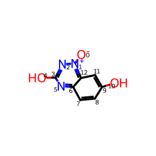 [O-][n+]1nc(O)nc2ccc(O)cc21